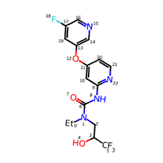 CCN(CC(O)C(F)(F)F)C(=O)Nc1cc(Oc2cncc(F)c2)ccn1